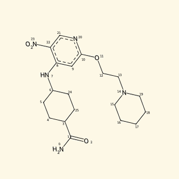 NC(=O)C1CCC(Nc2cc(OCCN3CCCCC3)ncc2[N+](=O)[O-])CC1